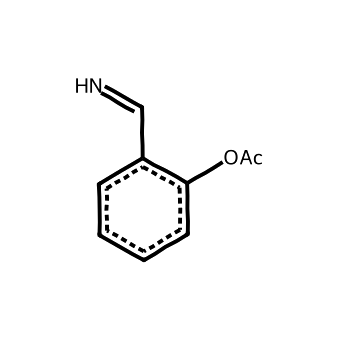 CC(=O)Oc1ccccc1C=N